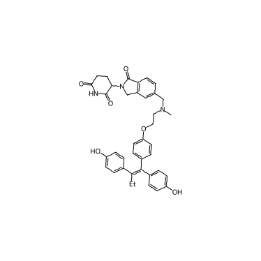 CCC(=C(c1ccc(O)cc1)c1ccc(OCCN(C)Cc2ccc3c(c2)CN(C2CCC(=O)NC2=O)C3=O)cc1)c1ccc(O)cc1